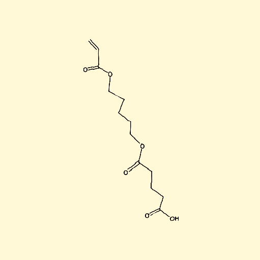 C=CC(=O)OCCCCCOC(=O)CCCC(=O)O